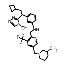 C[C@H]1CCCN(Cc2cnc(CNc3cccc(C(CC4CCC4)c4nncn4C)c3)c(C(F)(F)F)c2)C1